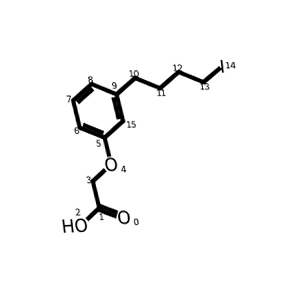 O=C(O)COc1cccc(CCCCI)c1